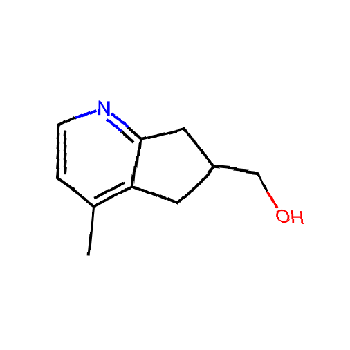 Cc1ccnc2c1CC(CO)C2